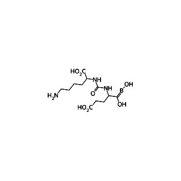 NCCCCC(NC(=O)NC(CCC(=O)O)/C(O)=B\O)C(=O)O